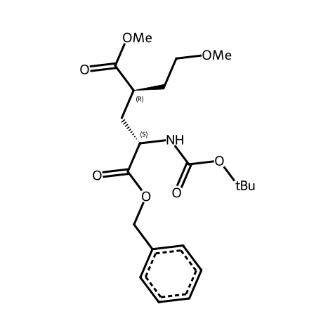 COCC[C@@H](C[C@H](NC(=O)OC(C)(C)C)C(=O)OCc1ccccc1)C(=O)OC